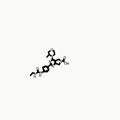 CCNC(=O)Nc1ccc(-c2nc3c(c(N4CCOCC4C)n2)CN(C(=O)O)C3)cc1